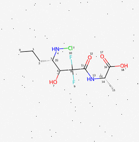 CCC[C@H](NCl)C(O)C(F)(F)C(=O)N[C@@H](C)C(=O)O